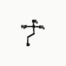 C[Si](C)(C)CCBr